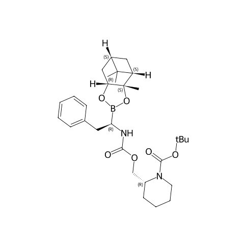 CC(C)(C)OC(=O)N1CCCC[C@@H]1COC(=O)N[C@@H](Cc1ccccc1)B1O[C@@H]2C[C@@H]3C[C@@H](C3(C)C)[C@]2(C)O1